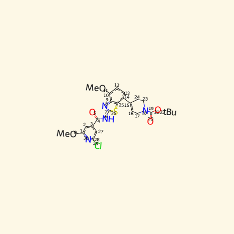 COc1cc(C(=O)Nc2nc3c(OC)ccc(C4=CCN(C(=O)OC(C)(C)C)CC4)c3s2)cc(Cl)n1